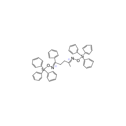 C/C(CC/C(=N/O[Si](c1ccccc1)(c1ccccc1)c1ccccc1)c1ccccc1)=N\O[Si](c1ccccc1)(c1ccccc1)c1ccccc1